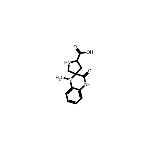 CN1c2ccccc2NC(=O)C12CNC(C(=O)O)C2